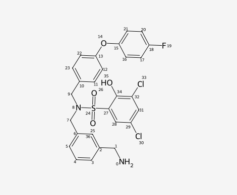 NCc1cccc(CN(Cc2ccc(Oc3ccc(F)cc3)cc2)S(=O)(=O)c2cc(Cl)cc(Cl)c2O)c1